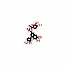 CC(OC(=O)c1cc(-c2ccc(O)c(O)c2)c2cc(O)c(O)cc2c1)(C(=O)O)c1ccc(O)c(O)c1